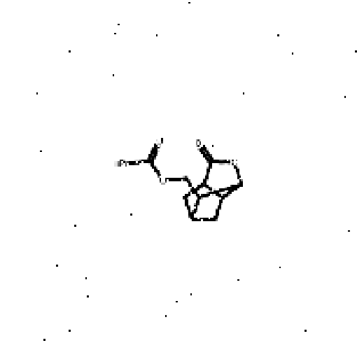 CCCC(=O)OCC1C2CC3C(=O)OC1C3C2